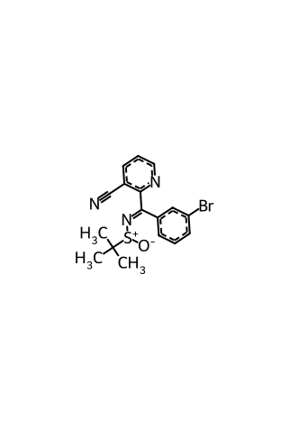 CC(C)(C)[S+]([O-])/N=C(\c1cccc(Br)c1)c1ncccc1C#N